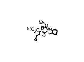 CCOC(=O)[C@@H](CCC1CC1)NC(=O)[C@@H](Cc1ccccc1)NC(=O)OC(C)(C)C